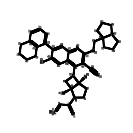 C=CC(=O)N1CC[C@@H]2[C@H]1CN2c1c(C#N)c(OCC23CCCN2CCC3)nc2cc(-c3cccc4c3CCCC4)c(Cl)cc12